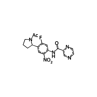 CC(=O)N1CCCC1c1cc([N+](=O)[O-])c(NC(=O)c2cnccn2)cc1F